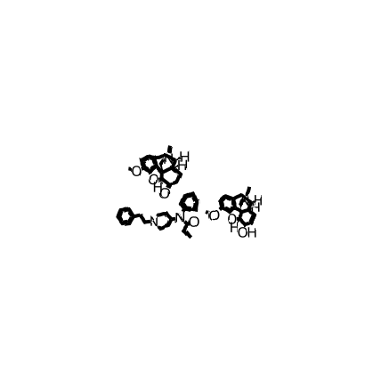 CCC(=O)N(c1ccccc1)C1CCN(CCc2ccccc2)CC1.COc1ccc2c3c1O[C@H]1C(=O)CC[C@H]4[C@@H](C2)N(C)CC[C@]314.COc1ccc2c3c1O[C@H]1[C@@H](O)C=C[C@H]4[C@@H](C2)N(C)CC[C@@]341